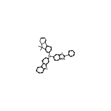 CC1(C)c2cc(N(c3ccc4nc(-c5ccccc5)sc4c3)c3ccc4c(c3)sc3ccccc34)ccc2C2=CC=CCC21